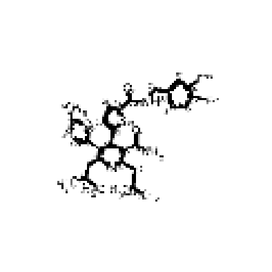 Cc1nnc(-c2c(CC(C)C)nc(CC(C)C)c(C(N)=O)c2-c2ccc(C(=O)NCc3ccc(F)c(F)c3)s2)o1